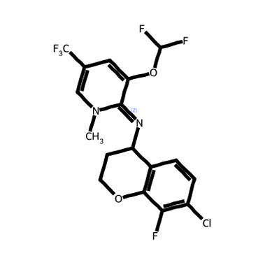 Cn1cc(C(F)(F)F)cc(OC(F)F)/c1=N/C1CCOc2c1ccc(Cl)c2F